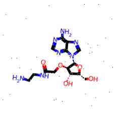 NCCNC(=O)CO[C@@H]1[C@@H](O)[C@@H](CO)O[C@H]1n1cnc2c(N)ncnc21